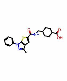 Cc1nn(-c2ccccc2)c2sc(C(=O)NCC3CCC(C(=O)O)CC3)cc12